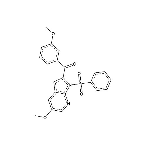 COc1cccc(C(=O)c2cc3cc(OC)cnc3n2S(=O)(=O)c2ccccc2)c1